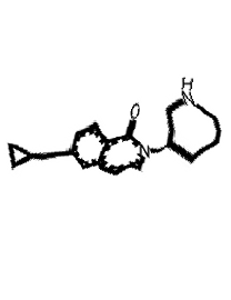 O=c1c2ccc(C3CC3)cc2ccn1[C@@H]1CCCNC1